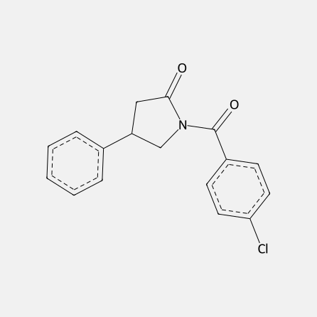 O=C1CC(c2ccccc2)CN1C(=O)c1ccc(Cl)cc1